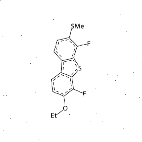 CCOc1ccc2c(sc3c(F)c(SC)ccc32)c1F